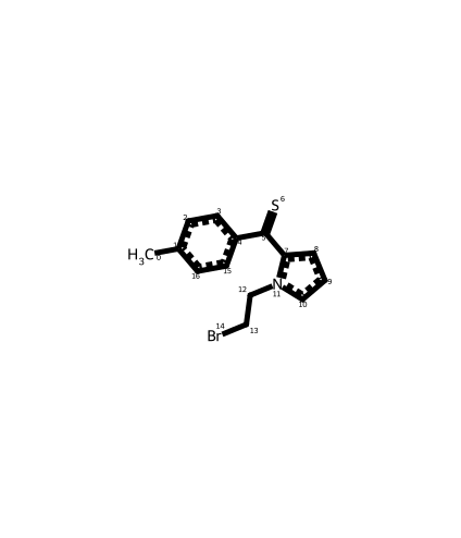 Cc1ccc(C(=S)c2cccn2CCBr)cc1